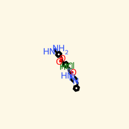 Cl.Cl.N=C(N)c1ccc(OC(=O)c2ccc(/C=C/C(=O)NN3CCN(Cc4ccccc4)CC3)cc2)cc1